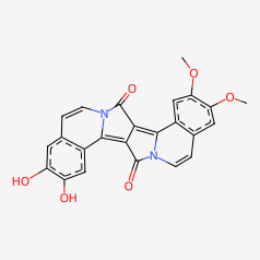 COc1cc2c(cc1OC)C1=C3C(=O)N4C=Cc5cc(O)c(O)cc5C4=C3C(=O)N1C=C2